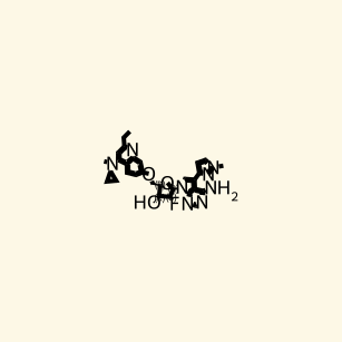 CCc1cc(N(C)C2CC2)c2ccc(OC[C@H]3O[C@@H](n4cc(-c5ccn(C)n5)c5c(N)ncnc54)[C@@H](F)[C@@H]3O)cc2n1